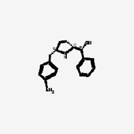 Nc1ccc(C[C@@H]2CC[C@H]([C@H](O)c3ccccc3)N2)cc1